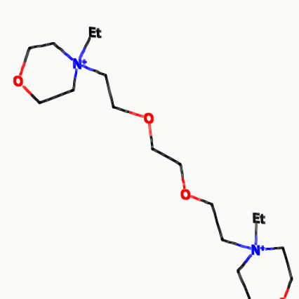 CC[N+]1(CCOCCOCC[N+]2(CC)CCOCC2)CCOCC1